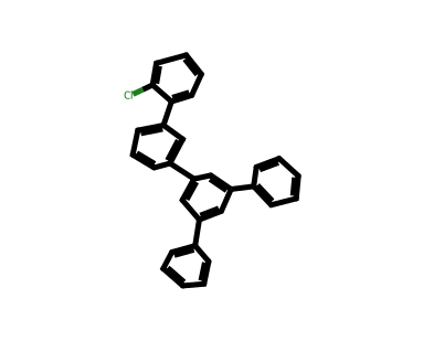 Clc1ccccc1-c1cccc(-c2cc(-c3ccccc3)cc(-c3ccccc3)c2)c1